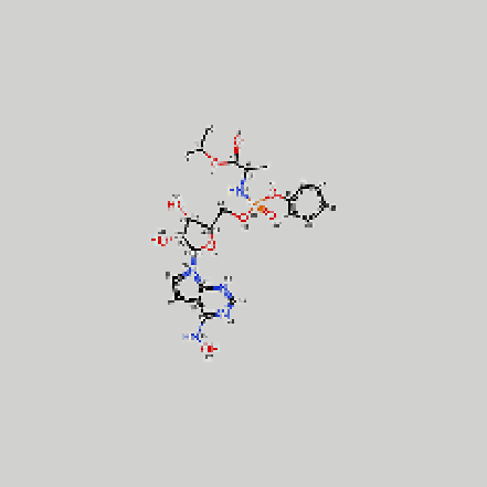 CC(C)OC(=O)[C@@H](C)N[P@@](=O)(OC[C@H]1O[C@@H](n2ccc3c(NO)ncnc32)[C@H](O)[C@@H]1O)Oc1ccccc1